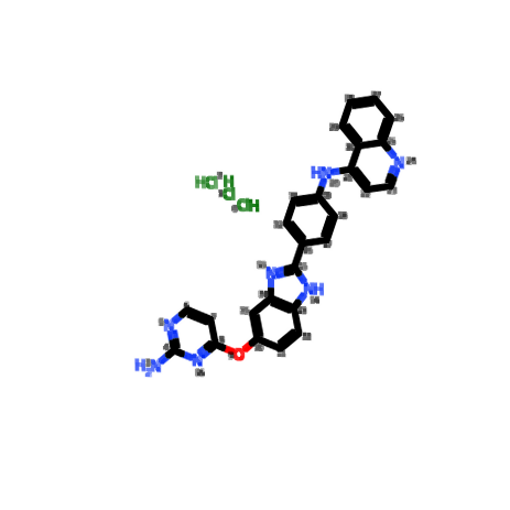 Cl.Cl.Cl.Nc1nccc(Oc2ccc3[nH]c(-c4ccc(Nc5ccnc6ccccc56)cc4)nc3c2)n1